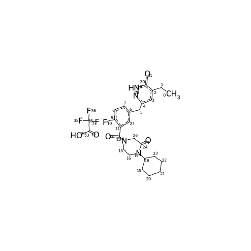 CCc1cc(Cc2ccc(F)c(C(=O)N3CCN(C4CCCCC4)C(=O)C3)c2)n[nH]c1=O.O=C(O)C(F)(F)F